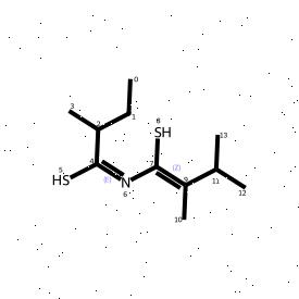 CCC(C)/C(S)=N\C(S)=C(/C)C(C)C